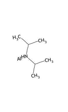 CC(C)NC(C)C.[Al]